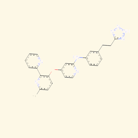 CCc1ccc(Oc2ccnc(Nc3cccc(CCc4nn[nH]n4)c3)c2)c(-c2ccccn2)n1